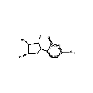 CCC[C@@H]1O[C@H](n2ccc(N)nc2=O)[C@H](Cl)[C@@H]1O